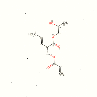 C=CC(=O)OCC(C=CC(=O)O)C(=O)OCC(C)O